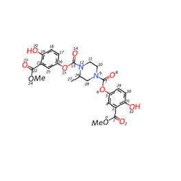 COC(=O)c1cc(OC(=O)N2CCN(C(=O)Oc3ccc(O)c(C(=O)OC)c3)C(C)C2)ccc1O